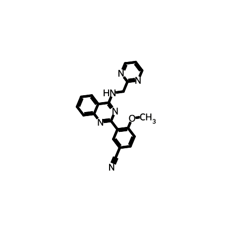 COc1ccc(C#N)cc1-c1nc(NCc2ncccn2)c2ccccc2n1